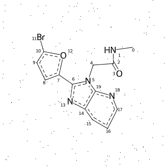 CNC(=O)Cn1c(-c2ccc(Br)o2)nc2cccnc21